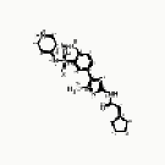 COc1ccc(-c2sc(NC(=O)CC3CCCC3)nc2C)cc1S(=O)(=O)NC1CCNCC1